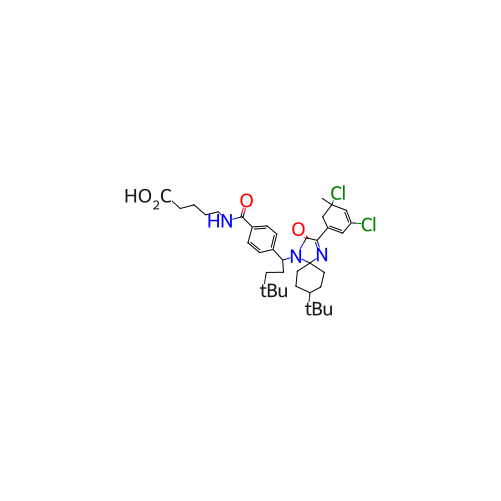 CC(C)(C)CCC(c1ccc(C(=O)NCCCCC(=O)O)cc1)N1C(=O)C(C2=CC(Cl)=CC(C)(Cl)C2)=NC12CCC(C(C)(C)C)CC2